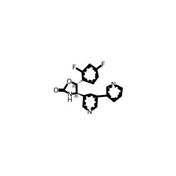 O=C1N[C@H](c2cncc(-c3cccnc3)c2)[C@@H](c2ccc(F)cc2F)O1